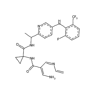 C=C/N=C\C(=C/N)C(=O)NC1(C(=O)NC(C)c2ccc(Nc3c(F)cccc3C(F)(F)F)cn2)CC1